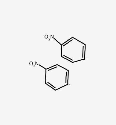 O=[N+]([O-])c1cc[c]cc1.O=[N+]([O-])c1cc[c]cc1